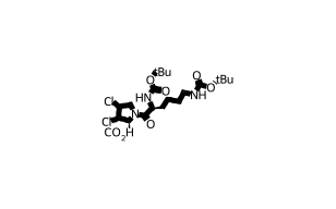 CC(C)(C)OC(=O)NCCCC[C@H](NC(=O)OC(C)(C)C)C(=O)N1CC(Cl)C(Cl)[C@H]1C(=O)O